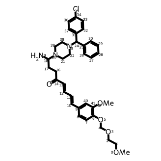 COCCOCOc1ccc(C=CC=CC(=O)CCC(N)N2CCN(C(c3ccccc3)c3ccc(Cl)cc3)CC2)cc1OC